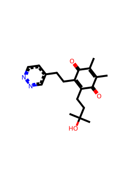 CC1=C(C)C(=O)C(CCC(C)(C)O)=C(CCc2ccnnc2)C1=O